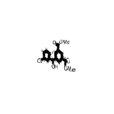 COC(=O)c1cc(C(=O)OC)cc(C(O)c2cccc(Cl)c2)c1